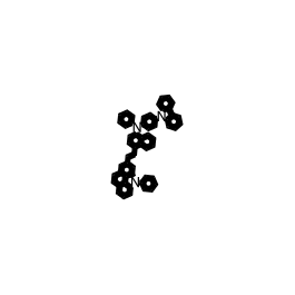 C(=C\c1ccc(N(c2ccccc2)c2ccc(-n3c4ccccc4c4ccccc43)cc2)c2ccccc12)/c1cc2ccc3cccc4c3c2c(c1)n4-c1ccccc1